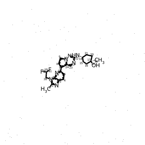 Cc1nc2ccc(-c3ccn4nc(N[C@H]5CC[C@](C)(O)CC5)ncc34)nc2n1CC(F)F